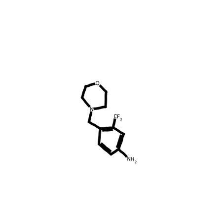 Nc1ccc(CN2CCOCC2)c(C(F)(F)F)c1